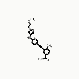 COCCn1cc(Nc2ncc(C#Cc3cc(C(N)=O)ccc3C)cn2)cn1